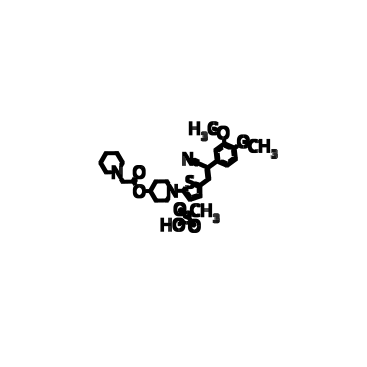 COc1ccc(/C(C#N)=C/c2ccc(N3CCC(OC(=O)CN4CCCCC4)CC3)s2)cc1OC.CS(=O)(=O)O